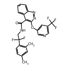 Cc1ccc(C(F)(F)CNC(=O)c2c(Oc3cncc(C(F)(F)F)c3)nnc3ccccc23)c(C)c1